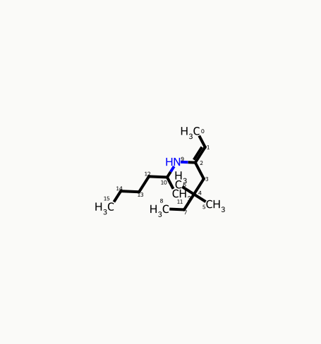 C/C=C(/CC(C)(C)CC)NC(C)CCCC